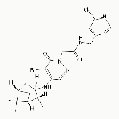 C[C@@H]1[C@H]2C[C@@H](C[C@H]1Nc1cnn(CC(=O)NCc3ccnc(Cl)c3)c(=O)c1Br)C2(C)C